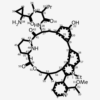 CCn1c(-c2cccnc2[C@H](C)OC)c2c3cc(ccc31)-c1cc(O)cc(c1)C[C@H](NC(=O)C(C(C)C)N(C)C(=O)C1(N)CC1)C(=O)N1CCC[C@H](N1)C(=O)OCC(C)(C)C2